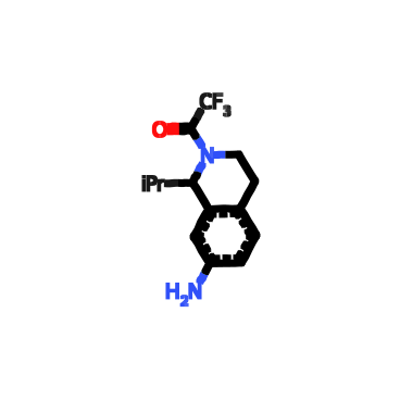 CC(C)C1c2cc(N)ccc2CCN1C(=O)C(F)(F)F